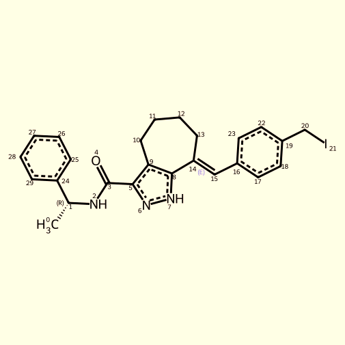 C[C@@H](NC(=O)c1n[nH]c2c1CCCC/C2=C\c1ccc(CI)cc1)c1ccccc1